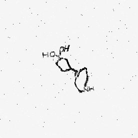 OS1(O)CCC(N2CCNCC2)C1